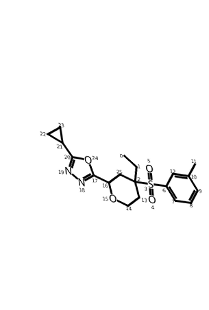 CCC1(S(=O)(=O)c2cccc(C)c2)CCOC(c2nnc(C3CC3)o2)C1